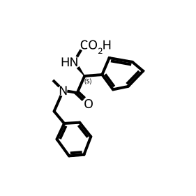 CN(Cc1ccccc1)C(=O)[C@@H](NC(=O)O)c1ccccc1